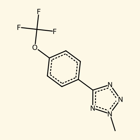 Cn1nnc(-c2ccc(OC(F)(F)F)cc2)n1